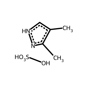 Cc1c[nH]nc1C.O=S(=O)(O)O